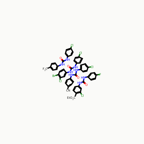 CCOC(=O)c1ccc(NC(=O)Nc2ccc(F)cc2)cc1Cl.N#Cc1ccc(NC(=O)Nc2ccc(Cl)cc2)cc1.O=C(Nc1ccc(Cl)cc1)Nc1ccc(Br)c(Cl)c1.O=C(Nc1ccc(Cl)cc1)Nc1ccc(C(F)(F)F)cc1